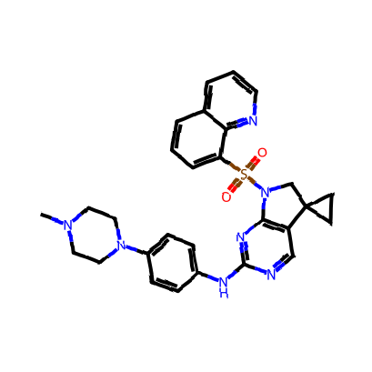 CN1CCN(c2ccc(Nc3ncc4c(n3)N(S(=O)(=O)c3cccc5cccnc35)CC43CC3)cc2)CC1